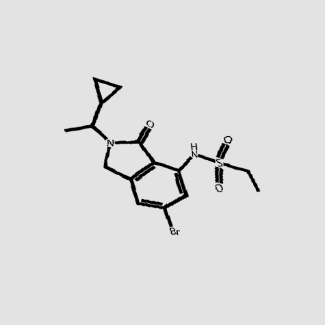 CCS(=O)(=O)Nc1cc(Br)cc2c1C(=O)N(C(C)C1CC1)C2